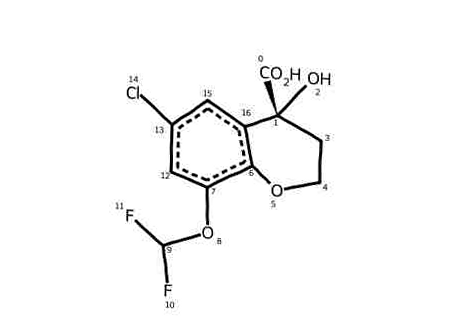 O=C(O)[C@@]1(O)CCOc2c(OC(F)F)cc(Cl)cc21